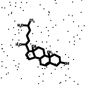 CC(CCCC(C)C(F)(F)F)C1CCC2C3CC=C4CC(O)CCC4(C)C3CCC12C